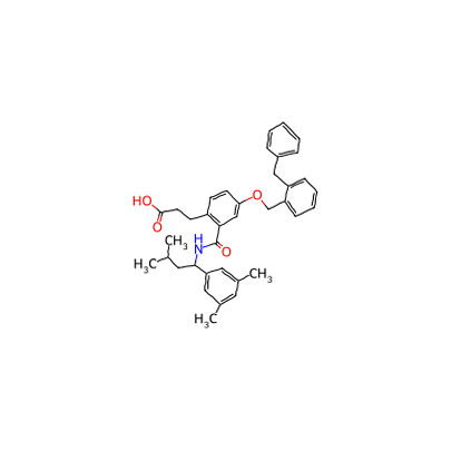 Cc1cc(C)cc(C(CC(C)C)NC(=O)c2cc(OCc3ccccc3Cc3ccccc3)ccc2CCC(=O)O)c1